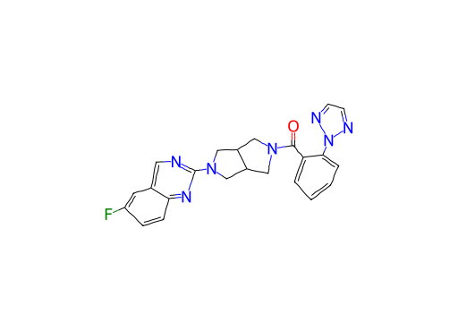 O=C(c1ccccc1-n1nccn1)N1CC2CN(c3ncc4cc(F)ccc4n3)CC2C1